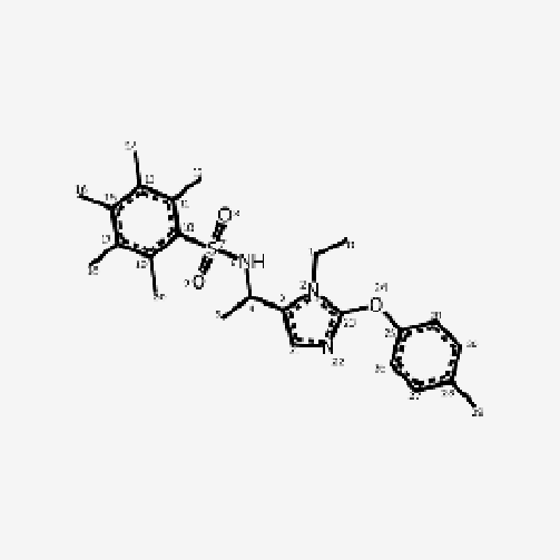 CCn1c(C(C)NS(=O)(=O)c2c(C)c(C)c(C)c(C)c2C)cnc1Oc1ccc(C)cc1